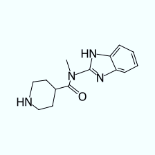 CN(C(=O)C1CCNCC1)c1nc2ccccc2[nH]1